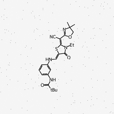 CCn1c(=C(C#N)C2=NC(C)(C)CO2)sc(=CNc2cccc(NC(=O)C(C)(C)C)c2)c1=O